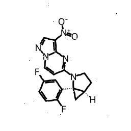 O=[N+]([O-])c1cnn2ccc(N3CC[C@H]4C[C@]43c3cc(F)ccc3F)nc12